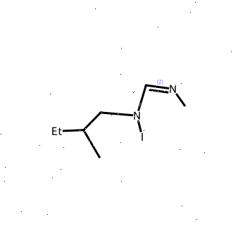 CCC(C)CN(I)/C=N\C